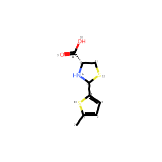 Cc1ccc(C2N[C@H](C(=O)O)CS2)s1